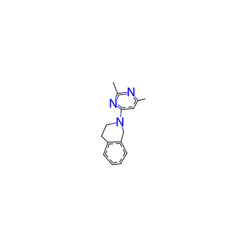 Cc1cc(N2CCc3ccccc3C2)nc(C)n1